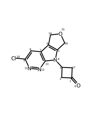 O=C1CC(n2c3c(c4cc(Cl)nnc42)COC3)C1